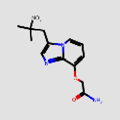 CC(C)(Cc1cnc2c(OCC(N)=O)cccn12)[N+](=O)[O-]